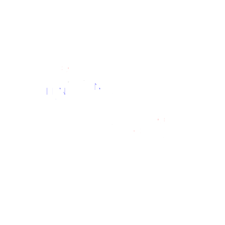 COc1ccccc1OCc1ccc(CC(C)(N)C(N)=O)cc1